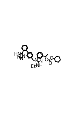 CCNc1nc2c(C(C)OC(=O)OC3CCCCC3)cccc2n1Cc1ccc(-c2ccccc2-c2nnn[nH]2)cc1